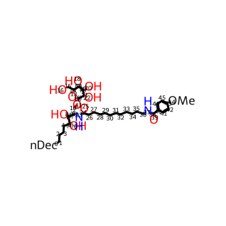 CCCCCCCCCCCCCC[C@@H](O)[C@@H](O)[C@H](CO[C@H]1OC(CO)[C@H](O)[C@H](O)C1O)NC(=O)CCCCCCCCCCCNC(=O)c1ccc(OC)cc1